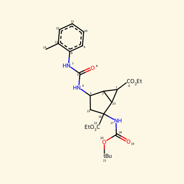 CCOC(=O)C1C2C(NC(=O)Nc3ccccc3C)CC(NC(=O)OC(C)(C)C)(C(=O)OCC)C12